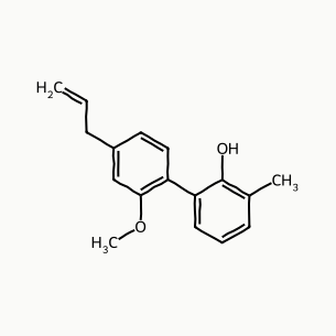 C=CCc1ccc(-c2cccc(C)c2O)c(OC)c1